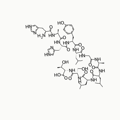 CC(C)C[C@H](NC(=O)[C@H](C)NC(=O)CNC(=O)[C@H](CC(C)C)NC(=O)[C@H](Cc1ccc(O)cc1)NC(=O)[C@H](Cc1c[nH]cn1)NC(=O)[C@H](C)NC(=O)[C@@H](N)Cc1c[nH]cn1)C(=O)N[C@@H](CC(C)C)C(=O)N[C@@H](CO)C(=O)N[C@H](C(=O)O)[C@@H](C)O